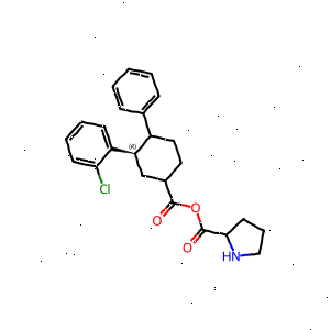 O=C(OC(=O)C1CCCN1)C1CCC(c2ccccc2)[C@H](c2ccccc2Cl)C1